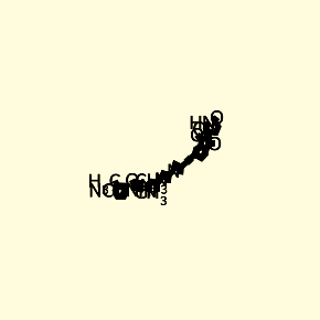 Cc1cc(NC(=O)C(C)(C)n2cc(N3CC(N4CC(C#Cc5ccc6c(c5)C(=O)N(C5CCC(=O)NC5=O)C6=O)C4)C3)cn2)ccc1C#N